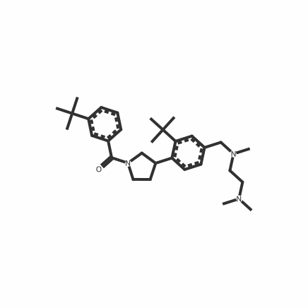 CN(C)CCN(C)Cc1ccc(C2CCN(C(=O)c3cccc(C(C)(C)C)c3)C2)c(C(C)(C)C)c1